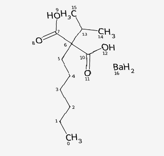 CCCCCCC(C(=O)O)(C(=O)O)C(C)C.[BaH2]